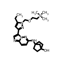 CCc1cc(-c2cnc3ccc(NC45CCC(O)(CC4)C5)nn23)nn1COCC[Si](C)(C)C